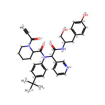 C#CC(=O)N1CCCCC1C(=O)N(c1ccc(C(C)(C)C)cc1)C(C(=O)NC(CO)Cc1ccc(O)cc1)c1cccnc1